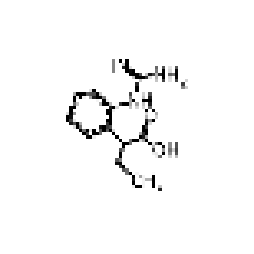 CCC(C(=O)O)c1ccccc1NC(=N)N